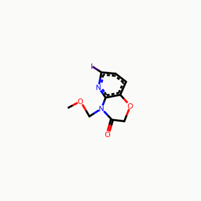 COCN1C(=O)COc2ccc(I)nc21